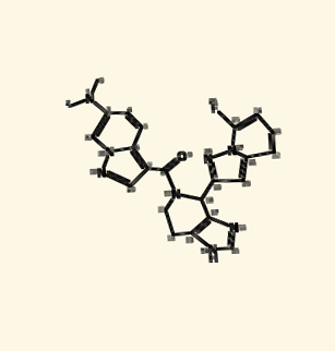 CN(C)c1ccc2c(C(=O)N3CCc4[nH]cnc4C3c3cc4cccc(F)n4n3)cnn2c1